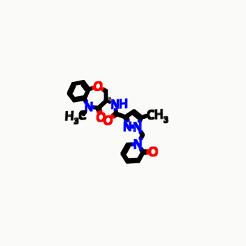 Cc1cc(C(=O)N[C@H]2COc3ccccc3N(C)C2=O)nn1Cn1ccccc1=O